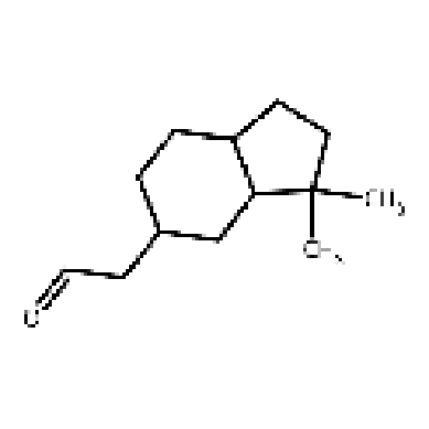 CC1(C)CCC2CCC(CC=O)CC21